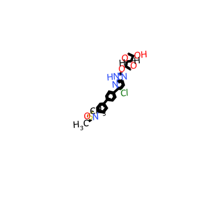 CCS(C)(=O)=Nc1ccc(-c2ccc(-c3nc4[nH]c(O[C@@H]5CO[C@H]6[C@@H]5OC[C@H]6O)nc4cc3Cl)cc2)cc1